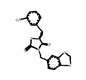 O=C1/C(=C/c2cccc([N+](=O)[O-])c2)SC(=S)N1Cc1ccc2c(c1)OCO2